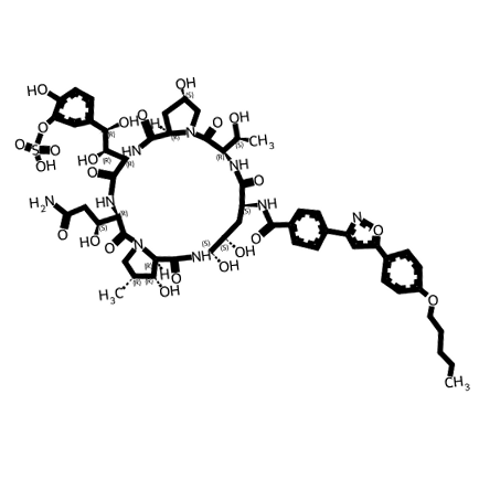 CCCCCOc1ccc(-c2cc(-c3ccc(C(=O)N[C@H]4C[C@H](O)[C@H](O)NC(=O)[C@H]5[C@H](O)[C@H](C)CN5C(=O)[C@@H]([C@@H](O)CC(N)=O)NC(=O)[C@@H]([C@@H](O)[C@H](O)c5ccc(O)c(OS(=O)(=O)O)c5)NC(=O)[C@H]5C[C@H](O)CN5C(=O)[C@@H]([C@H](C)O)NC4=O)cc3)no2)cc1